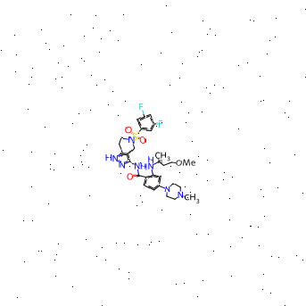 COCC[C@@H](C)Nc1cc(N2CCN(C)CC2)ccc1C(=O)Nc1n[nH]c2c1CN(S(=O)(=O)c1cc(F)cc(F)c1)CC2